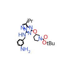 CC(C)c1cnn2c(NCc3cccc(N)c3)nc(O[C@@H]3CCCN(C(=O)OC(C)(C)C)C3)nc12